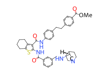 COC(=O)c1ccc(CCc2ccc(NC(=O)c3c(NC(=O)c4cccc(CN[C@H]5CN6CCC5CC6)c4)sc4c3CCCC4)cc2)cc1